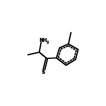 Cc1cccc(C(=S)C(C)N)c1